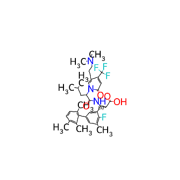 Cc1ccc(C)c(-c2cc(C)c(F)c([C@H](CC(=O)O)NC(=O)C(CC(C)C)n3cc(CCN(C)C)c(C(F)(F)F)cc3=O)c2)c1C